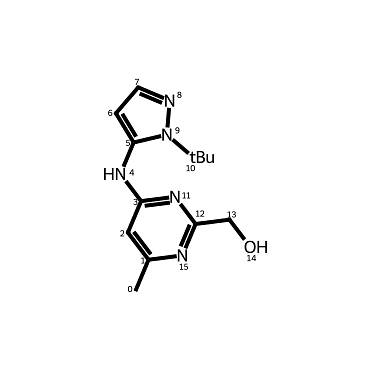 Cc1cc(Nc2ccnn2C(C)(C)C)nc(CO)n1